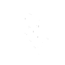 Cc1nc(N[C@H](C)c2cccc(C(F)F)c2F)c2cc(C3(C#N)CC3)c(NCC(C)(C)O)nc2n1